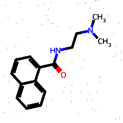 CN(C)CCNC(=O)c1cccc2ccccc12